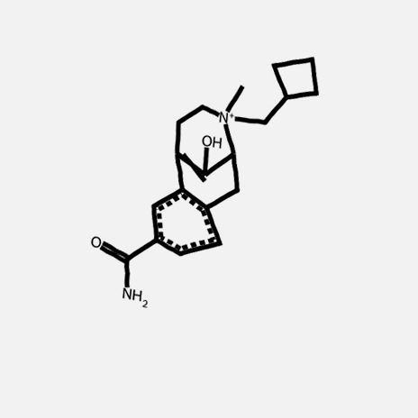 C[N+]1(CC2CCC2)CCC23CCCCC2(O)C1Cc1ccc(C(N)=O)cc13